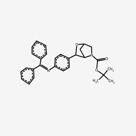 CC(C)(C)OC(=O)N1CC2CC1C(c1ccc(N=C(c3ccccc3)c3ccccc3)cc1)O2